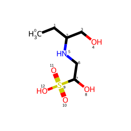 CCC(CO)NCC(O)S(=O)(=O)O